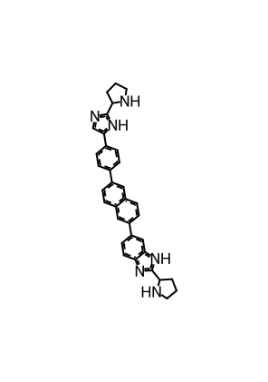 c1cc(-c2cnc(C3CCCN3)[nH]2)ccc1-c1ccc2cc(-c3ccc4nc(C5CCCN5)[nH]c4c3)ccc2c1